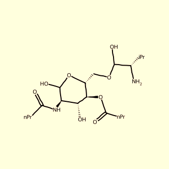 CCCC(=O)N[C@H]1C(O)O[C@H](COC(O)[C@@H](N)C(C)C)[C@@H](OC(=O)CCC)[C@@H]1O